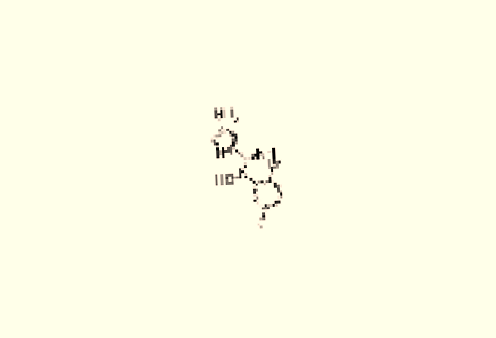 N=C(N(O)c1cc(Cl)ccc1Br)n1cc(N)cn1